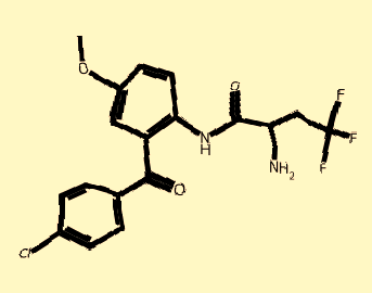 COc1ccc(NC(=O)C(N)CC(F)(F)F)c(C(=O)c2ccc(Cl)cc2)c1